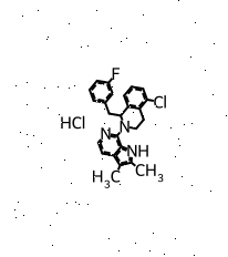 Cc1[nH]c2c(N3CCc4c(Cl)cccc4C3Cc3cccc(F)c3)nccc2c1C.Cl